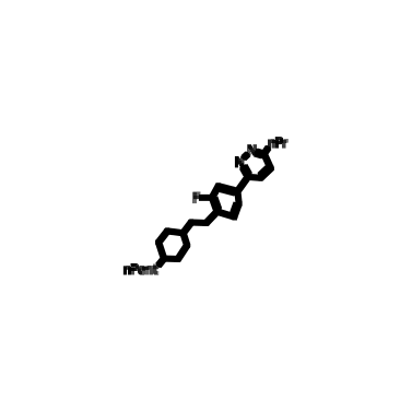 CCCCCC1CCC(CCc2ccc(-c3ccc(CCC)nn3)cc2F)CC1